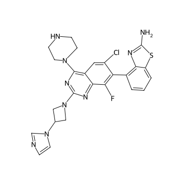 Nc1nc2c(-c3c(Cl)cc4c(N5CCNCC5)nc(N5CC(n6ccnc6)C5)nc4c3F)cccc2s1